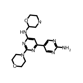 Nc1ncc(-c2cc(NC3C[N]CCO3)nc(N3CCOCC3)n2)cn1